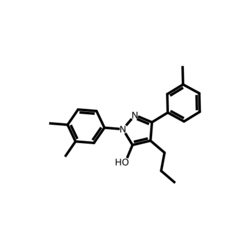 CCCc1c(-c2cccc(C)c2)nn(-c2ccc(C)c(C)c2)c1O